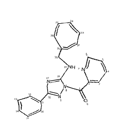 O=C(c1ccccn1)n1nc(-c2ccccc2)nc1NCc1ccccc1